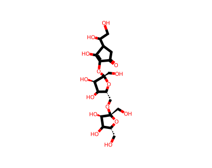 O=C1CC(C(O)CO)C(O)=C1O[C@]1(CO)O[C@H](CO[C@]2(CO)O[C@H](CO)C(O)[C@H]2O)C(O)[C@H]1O